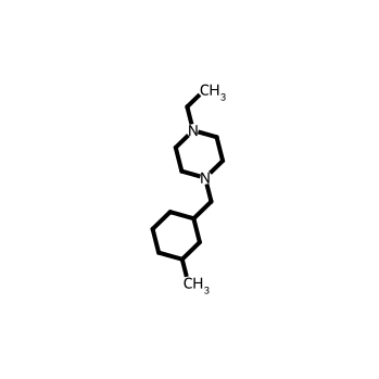 CCN1CCN(CC2CCCC(C)C2)CC1